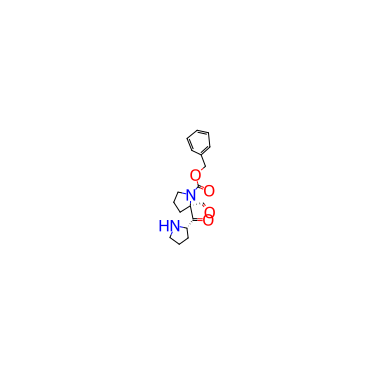 O=C[C@]1(C(=O)[C@@H]2CCCN2)CCCN1C(=O)OCc1ccccc1